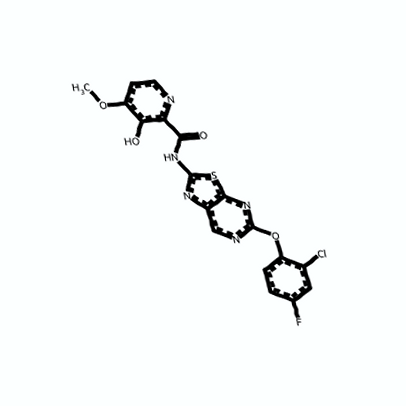 COc1ccnc(C(=O)Nc2nc3cnc(Oc4ccc(F)cc4Cl)nc3s2)c1O